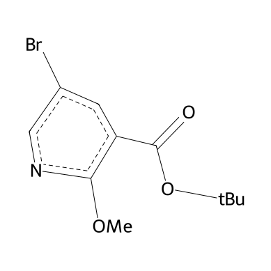 COc1ncc(Br)cc1C(=O)OC(C)(C)C